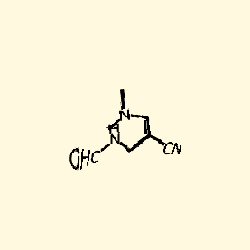 CN(C)C=C(C#N)CNC=O